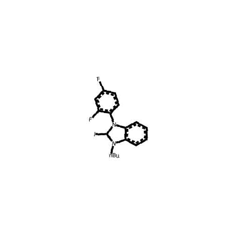 CCCCN1c2ccccc2N(c2ccc(F)cc2F)C1I